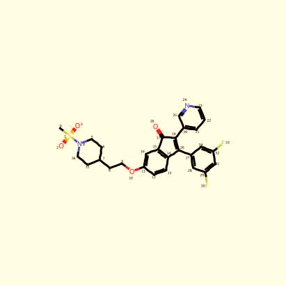 CS(=O)(=O)N1CCC(CCOc2ccc3c(c2)C(=O)C(c2cccnc2)=C3c2cc(F)cc(F)c2)CC1